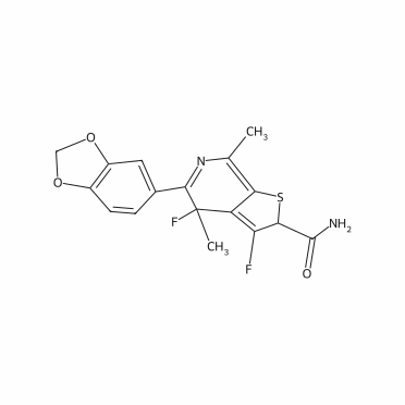 CC1=C2SC(C(N)=O)C(F)=C2C(C)(F)C(c2ccc3c(c2)OCO3)=N1